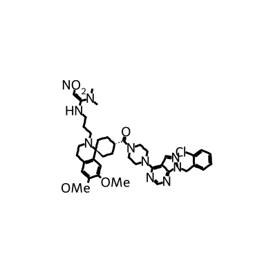 COc1cc2c(cc1OC)[C@]1(CC[C@@H](C(=O)N3CCN(c4ncnc5c4cnn5Cc4ccccc4Cl)CC3)CC1)N(CCCN/C(=C/[N+](=O)[O-])N(C)C)CC2